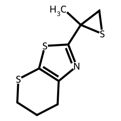 CC1(c2nc3c(s2)SCCC3)CS1